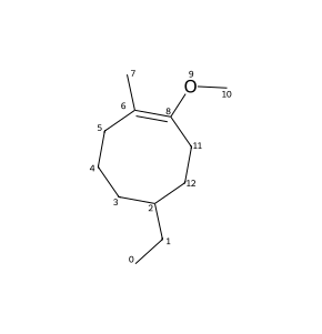 CCC1CCC/C(C)=C(/OC)CC1